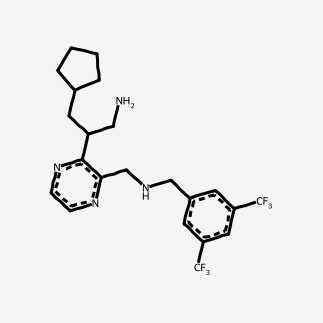 NCC(CC1CCCC1)c1nccnc1CNCc1cc(C(F)(F)F)cc(C(F)(F)F)c1